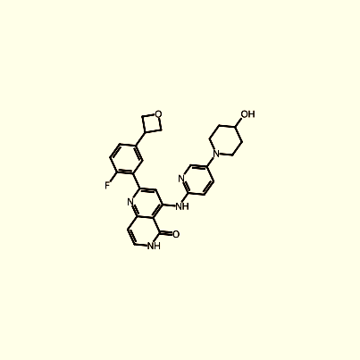 O=c1[nH]ccc2nc(-c3cc(C4COC4)ccc3F)cc(Nc3ccc(N4CCC(O)CC4)cn3)c12